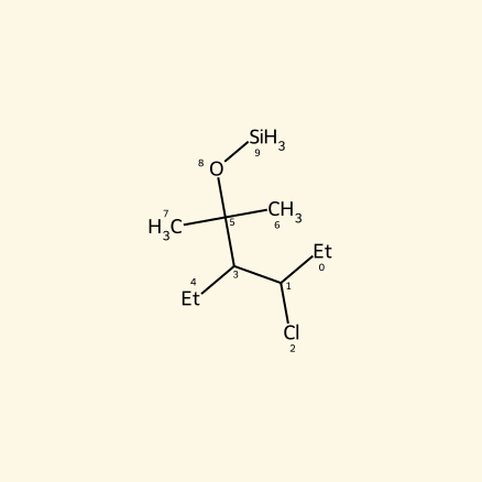 CCC(Cl)C(CC)C(C)(C)O[SiH3]